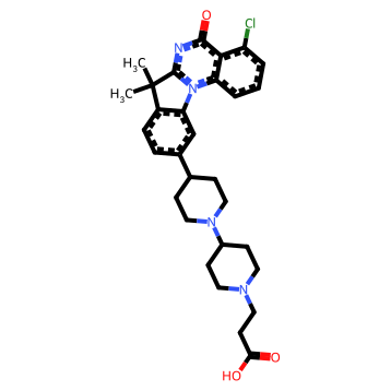 CC1(C)c2ccc(C3CCN(C4CCN(CCC(=O)O)CC4)CC3)cc2-n2c1nc(=O)c1c(Cl)cccc12